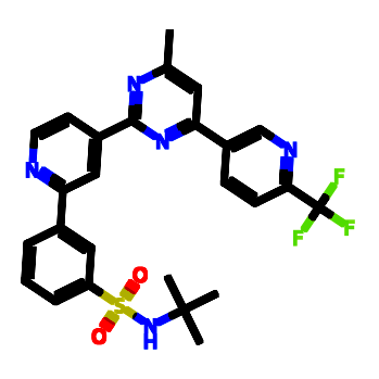 Cc1cc(-c2ccc(C(F)(F)F)nc2)nc(-c2ccnc(-c3cccc(S(=O)(=O)NC(C)(C)C)c3)c2)n1